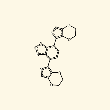 c1sc(-c2ccc(-c3scc4c3OCCO4)c3nsnc23)c2c1OCCO2